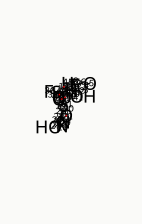 C[C@]12C=CC(=O)C=C1CC[C@H]1[C@@H]3CC[C@](OC(=O)c4ccc(Oc5ccc(O)nn5)cc4)(C(=O)SCF)[C@@]3(C)C[C@H](O)[C@@]12F